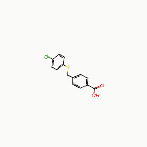 O=C(O)c1ccc(CSc2ccc(Cl)cc2)cc1